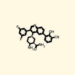 N#Cc1cccc(-c2ccc3ncc(-c4cc(F)cc(F)c4)c(N4CCC(N)[C@H](C(N)=O)C4)c3c2)c1O